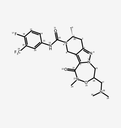 C[C@@H]1Cc2nn3c(c2CN1C(=O)Nc1ccc(F)c(C(F)(F)F)c1)C(=O)N(C)OC(CN(C)C)C3